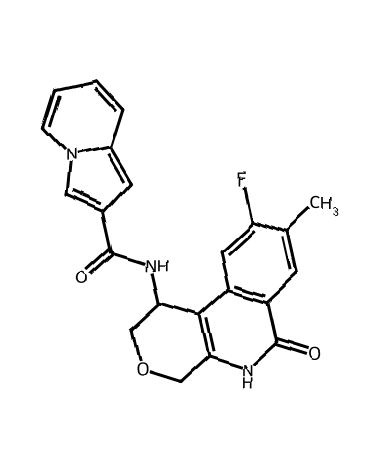 Cc1cc2c(=O)[nH]c3c(c2cc1F)C(NC(=O)c1cc2ccccn2c1)COC3